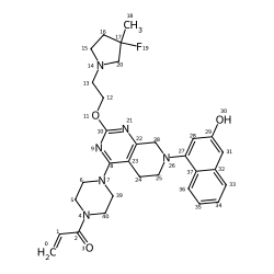 C=CC(=O)N1CCN(c2nc(OCCN3CCC(C)(F)C3)nc3c2CCN(c2cc(O)cc4ccccc24)C3)CC1